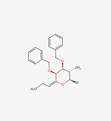 CC[C@H]1O/C(=C/COC(C)=O)[C@@H](OCc2ccccc2)[C@@H](OCc2ccccc2)[C@@H]1C